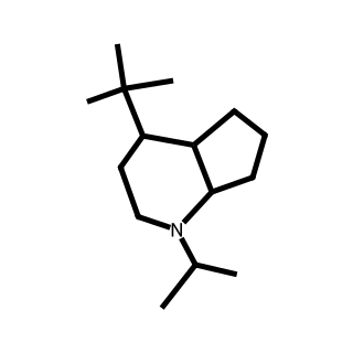 CC(C)N1CCC(C(C)(C)C)C2CCCC21